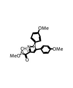 COc1ccc(-c2cc(C(=O)N(C)OC)nn2-c2ccc(OC)cc2)cc1